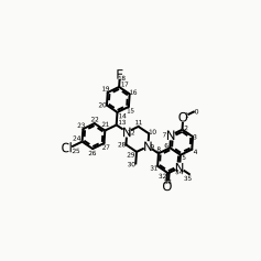 COc1ccc2c(n1)c(N1CCN(C(c3ccc(F)cc3)c3ccc(Cl)cc3)CC1C)cc(=O)n2C